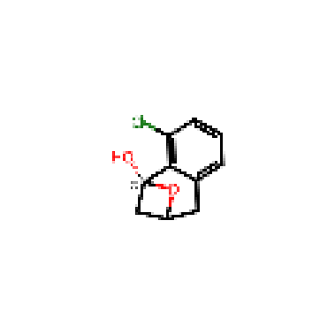 O[C@]12CC(Cc3cccc(Cl)c31)O2